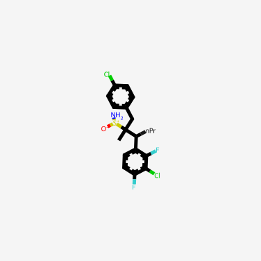 CCCC(c1ccc(F)c(Cl)c1F)C(C)(Cc1ccc(Cl)cc1)[S+](N)[O-]